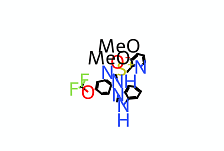 COc1ccnc(C[S+]([O-])c2nc3cc(OC(F)F)ccc3[nH]2)c1OC.c1ccc2[nH]cnc2c1